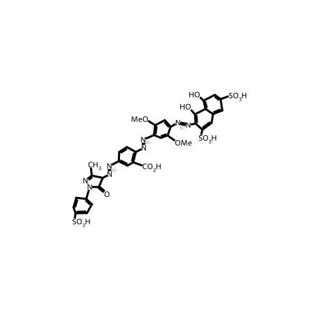 COc1cc(/N=N/c2c(S(=O)(=O)O)cc3cc(S(=O)(=O)O)cc(O)c3c2O)c(OC)cc1/N=N/c1ccc(/N=N/C2C(=O)N(c3ccc(S(=O)(=O)O)cc3)N=C2C)cc1C(=O)O